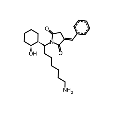 NCCCCCCC([C@@H]1CCCC[C@@H]1O)N1C(=O)C/C(=C\c2ccccc2)C1=O